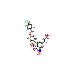 O=C(NO)C1(NS(=O)(=O)c2ccc(OCc3ccc(Cl)cc3F)cc2)CCC(CCCO)OC1